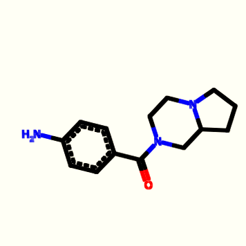 Nc1ccc(C(=O)N2CCN3CCCC3C2)cc1